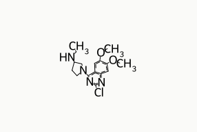 CCN[C@H]1CCN(c2nc(Cl)nc3cc(OC)c(OC)cc23)C1